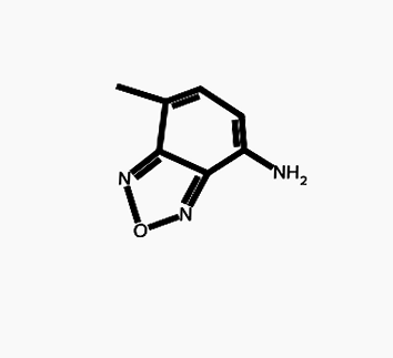 Cc1ccc(N)c2nonc12